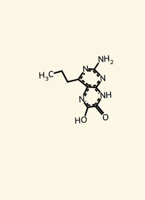 CCCc1nc(N)nc2[nH]c(=O)c(O)nc12